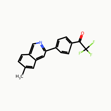 Cc1ccc2cnc(-c3ccc(C(=O)C(F)(F)F)cc3)cc2c1